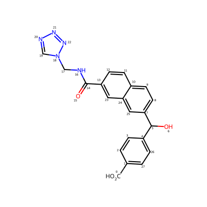 O=C(O)c1ccc(C(O)c2ccc3ccc(C(=O)NCn4cnnn4)cc3c2)cc1